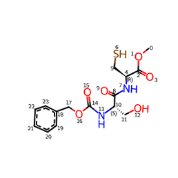 COC(=O)[C@H](CS)NC(=O)[C@H](CO)NC(=O)OCc1ccccc1